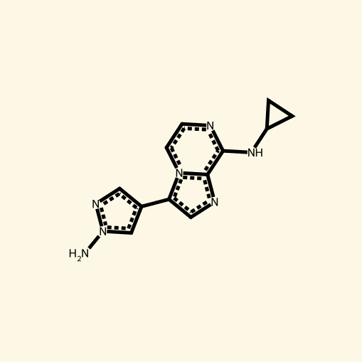 Nn1cc(-c2cnc3c(NC4CC4)nccn23)cn1